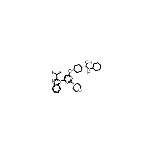 OC(NC1CCCCC1)[C@H]1CC[C@H](Oc2cc(-n3c(C(F)F)nc4ccccc43)nc(N3CCOCC3)n2)CC1